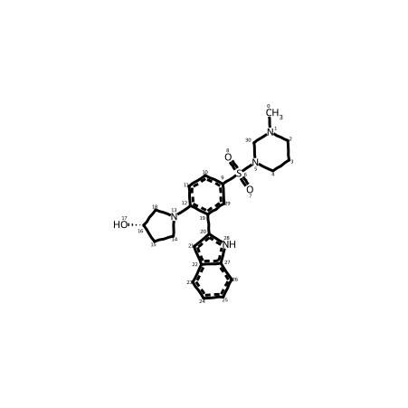 CN1CCCN(S(=O)(=O)c2ccc(N3CC[C@H](O)C3)c(-c3cc4ccccc4[nH]3)c2)C1